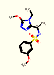 CCn1c(OC)nnc1[C@@H](C)NS(=O)(=O)c1cccc(OC)c1